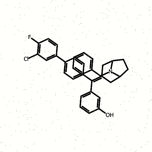 Oc1cccc(C(=C2CC3CCC(C2)N3Cc2ccccc2)c2ccc(-c3ccc(F)c(Cl)c3)cc2)c1